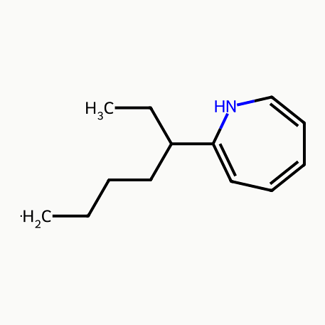 [CH2]CCCC(CC)C1=CC=CC=CN1